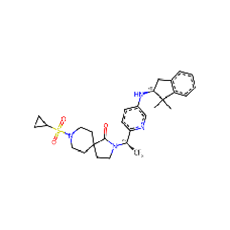 CC1(C)c2ccccc2C[C@@H]1Nc1ccc([C@H](N2CCC3(CCN(S(=O)(=O)C4CC4)CC3)C2=O)C(F)(F)F)nc1